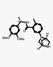 COc1ccc([C@@H](C)NC(=O)c2cc(N3C[C@@H]4C[C@H]3CN4)ccc2C)cc1OC